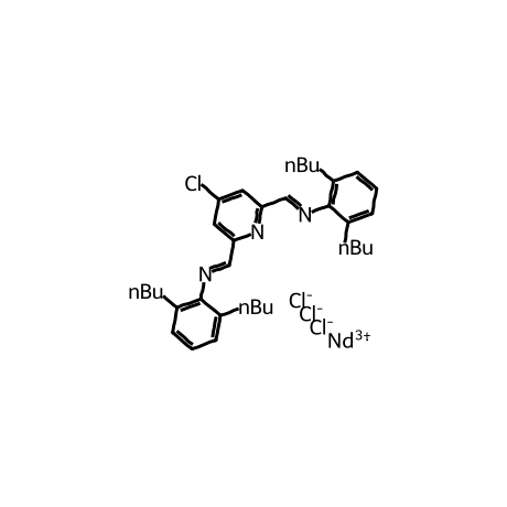 CCCCc1cccc(CCCC)c1N=Cc1cc(Cl)cc(C=Nc2c(CCCC)cccc2CCCC)n1.[Cl-].[Cl-].[Cl-].[Nd+3]